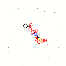 O=C(CNC(=O)OCOC(=O)C1CCCCC1)CS(=O)O